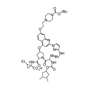 CCC1C[C@]1(NC(=O)C1C[C@@H](Oc2cc(-n3ccc(NC(C)C)n3)nc3cc(OCCN4CCN(C(=O)OC(C)(C)C)CC4)ccc23)CN1C(=O)C(NC(=O)OC1CC(C)C(C)C1)C(C)(C)C)C(=O)O